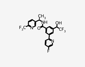 C[C@@H](NC(=O)c1cc(-c2ccc(F)cn2)cc(C(O)C(F)(F)F)c1)c1ccc(C(F)(F)F)nc1